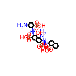 Nc1ccc(S(=O)(=O)O)c(N=Nc2c(S(=O)(=O)O)cc3cc(S(=O)(=O)O)c(N=Nc4ccc5ccccc5c4S(=O)(=O)O)c(N)c3c2O)c1